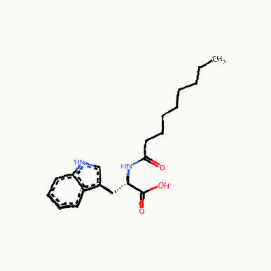 CCCCCCCCC(=O)N[C@@H](Cc1c[nH]c2ccccc12)C(=O)O